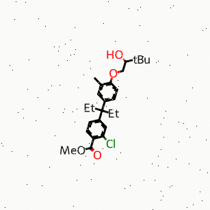 CCC(CC)(c1ccc(OCC(O)C(C)(C)C)c(C)c1)c1ccc(C(=O)OC)c(Cl)c1